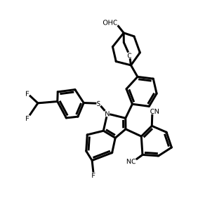 N#Cc1cccc(C#N)c1-c1c(-c2cccc(C34CCC(C=O)(CC3)CC4)c2)n(Sc2ccc(C(F)F)cc2)c2ccc(F)cc12